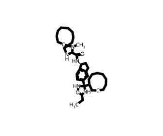 CCC1NC(c2ccc3c(c2)CC[C@H]3NC(=O)C2NCC3(CCCCCCCCC3)N2C)(C2CCCCCCCCC2)NO1